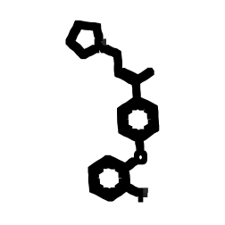 CC(=CCN1CCCC1)c1ccc(Oc2ccccc2F)cc1